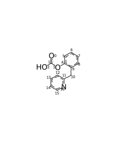 O=C(O)Oc1ccccc1Cc1ccccn1